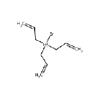 C=C[CH2][Hf]([Br])([CH2]C=C)[CH2]C=C